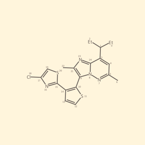 CCC(CC)c1cc(C)nn2c(-c3sccc3-c3nc(Cl)cs3)c(C)nc12